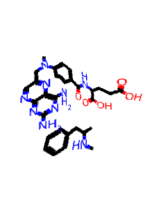 CN(Cc1cnc2nc(N)nc(N)c2n1)c1ccc(C(=O)NC(CCC(=O)O)C(=O)O)cc1.CNC(C)Cc1ccccc1